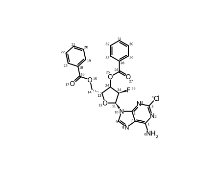 Nc1nc(Cl)nc2c1ncn2[C@H]1O[C@H](COC(=O)c2ccccc2)C(OC(=O)c2ccccc2)[C@H]1F